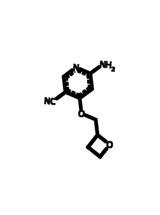 N#Cc1cnc(N)cc1OCC1CCO1